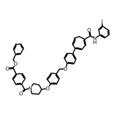 O=C(Nc1cccc(I)c1)C1=CC=C(c2ccc(OCc3ccc(OC4CCN(C(=O)c5ccc(C(=O)OCc6ccccc6)cc5)CC4)cc3)cc2)C=CC1